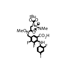 CNS(=O)(=O)N(CC(=O)N(Cc1cc(C(=O)O)c(Nc2ccc(I)cc2F)c(F)c1F)OC)C(=O)OC(C)(C)C